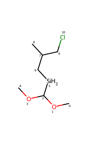 COC(OC)[SiH2]CC(C)CCl